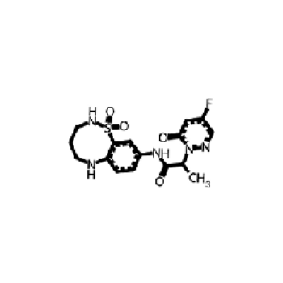 CC(C(=O)Nc1ccc2c(c1)S(=O)(=O)NCCCN2)n1ncc(F)cc1=O